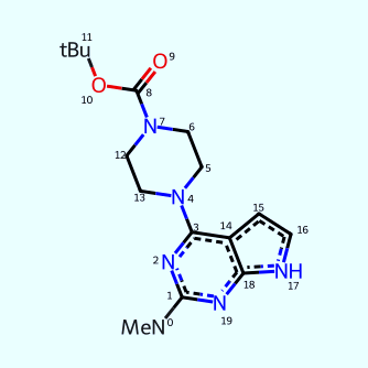 CNc1nc(N2CCN(C(=O)OC(C)(C)C)CC2)c2cc[nH]c2n1